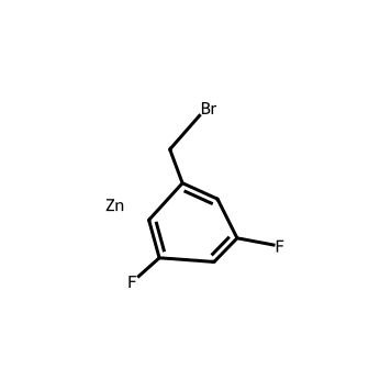 Fc1cc(F)cc(CBr)c1.[Zn]